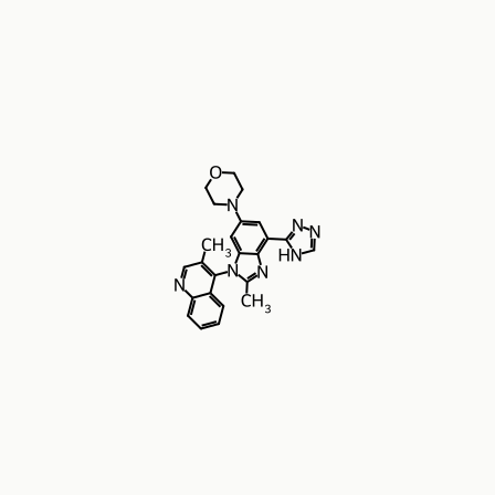 Cc1cnc2ccccc2c1-n1c(C)nc2c(-c3nnc[nH]3)cc(N3CCOCC3)cc21